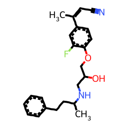 C/C(=C/C#N)c1ccc(OCC(O)CNC(C)CCc2ccccc2)c(F)c1